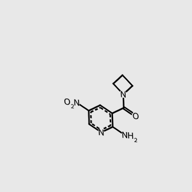 Nc1ncc([N+](=O)[O-])cc1C(=O)N1CCC1